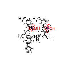 Cc1ccc(OP(=O)(O)Oc2ccc(C)cc2C)c(C)c1.Cc1ccc(OP(=O)(O)Oc2ccc(C)cc2C)c(C)c1.c1ccc2c(c1)-c1ccccc1-2